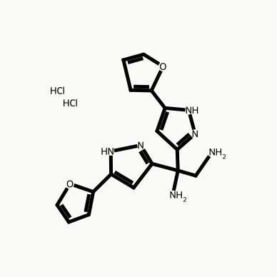 Cl.Cl.NCC(N)(c1cc(-c2ccco2)[nH]n1)c1cc(-c2ccco2)[nH]n1